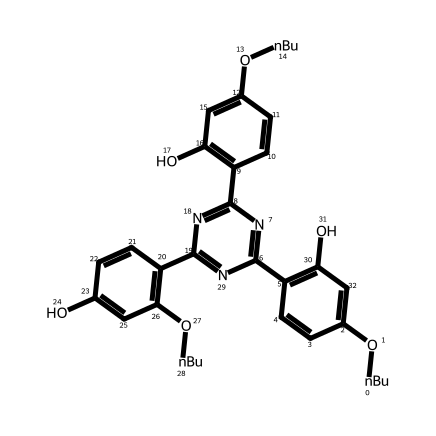 CCCCOc1ccc(-c2nc(-c3ccc(OCCCC)cc3O)nc(-c3ccc(O)cc3OCCCC)n2)c(O)c1